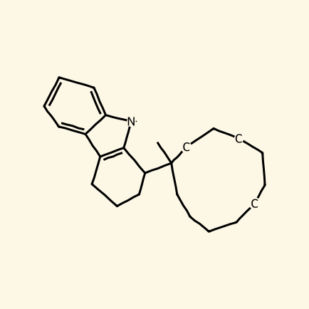 CC1(C2CCCC3=C2[N]c2ccccc23)CCCCCCCCCC1